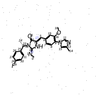 C/N=C1\N/C(=C\c2ccc(-n3cnc(C)c3)c(OC)c2)C(=O)N1[C@@H](C)c1ccc(F)cc1